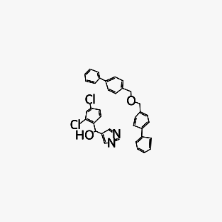 OC(c1cncnc1)c1ccc(Cl)cc1Cl.c1ccc(-c2ccc(COCc3ccc(-c4ccccc4)cc3)cc2)cc1